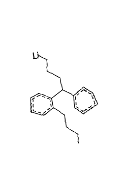 [Li][CH2]CCC(c1ccccc1)c1ccccc1CCCC